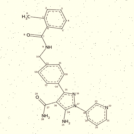 Cc1ccccc1C(=O)NCc1ccc(-c2nn(-c3cccnc3)c(N)c2C(N)=O)cc1